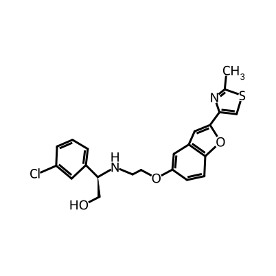 Cc1nc(-c2cc3cc(OCCN[C@@H](CO)c4cccc(Cl)c4)ccc3o2)cs1